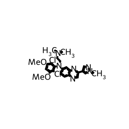 COc1cc(OC)c(Cl)c(N(CCN(C)C)c2ccc3ncc(-c4cnn(C)c4)nc3c2)c1Cl